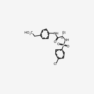 CC[C@H](NS(=O)(=O)c1ccc(Cl)cc1)C(=O)Nc1ccc(CC(=O)O)cc1